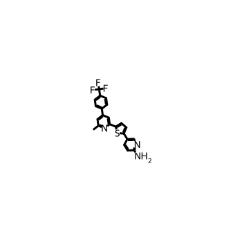 Cc1cc(-c2ccc(C(F)(F)F)cc2)cc(-c2ccc(-c3ccc(N)nc3)s2)n1